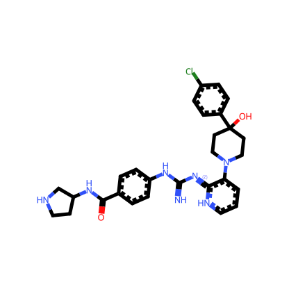 N=C(/N=c1\[nH]cccc1N1CCC(O)(c2ccc(Cl)cc2)CC1)Nc1ccc(C(=O)NC2CCNC2)cc1